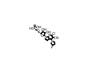 N#Cc1c(Cl)nc2c(ccn2[C@@H]2O[C@H](COCP(=O)(O)O)[C@@H](O)[C@H]2O)c1N1CC[C@@H](F)C1